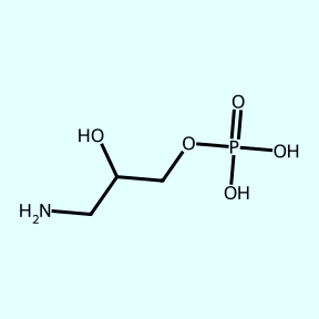 NCC(O)COP(=O)(O)O